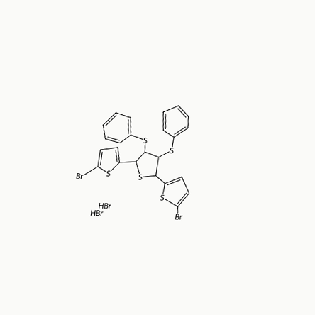 Br.Br.Brc1ccc(C2SC(c3ccc(Br)s3)C(Sc3ccccc3)C2Sc2ccccc2)s1